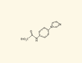 CCOC(=O)C(=O)Nc1ccc(-n2ccnc2)cc1